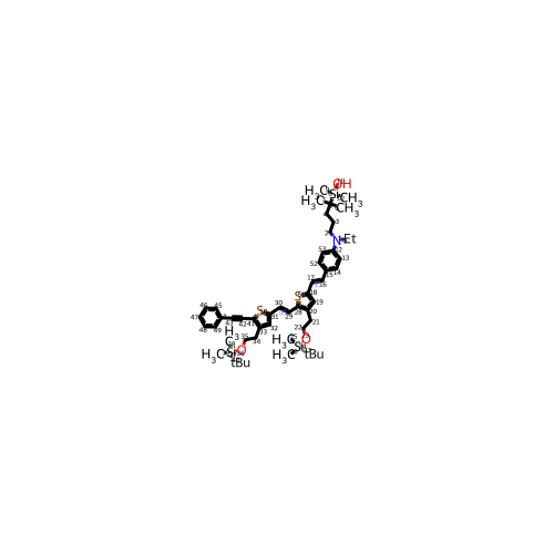 CCN(CCCC(C)(C)[Si](C)(C)O)c1ccc(/C=C/c2cc(CCO[Si](C)(C)C(C)(C)C)c(/C=C/c3cc(CCO[Si](C)(C)C(C)(C)C)c(C#Cc4ccccc4)s3)s2)cc1